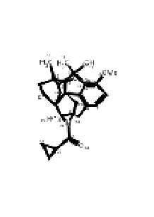 COc1ccc2c3c1OC1C4(C)CCC5(CC4C(C)(O)C(C)(C)C)[C@@H]4N(C(=O)C6CC6)[C@]4(C2)C[C@]315